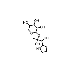 CC(O)(OC1OCC(O)C(O)C1O)C(O)C1CCCN1